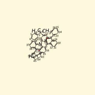 CC1(C)c2ccccc2-c2c(N(c3ccccc3-c3ccc(-c4ccccc4)c4ccccc34)c3ccccc3C34CC5CC6C[C@H](C3)[C@]65C4)cccc21